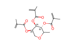 C=C(C)C(=O)O[C@H]1[C@H](OC(=O)C(=C)C)C(C)OC[C@H]1OC(=O)C(=C)C